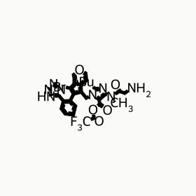 CCCCc1nc(N(C)C(=O)CN)c(C(=O)OC(=O)C(F)(F)F)n1Cc1c2ccocc-2c(Br)c1-c1ccccc1-c1nnn[nH]1